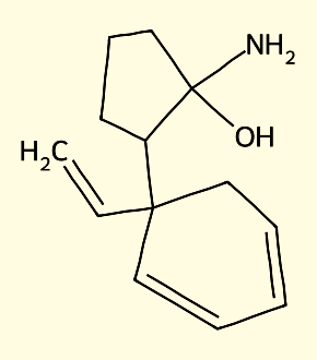 C=CC1(C2CCCC2(N)O)C=CC=CC1